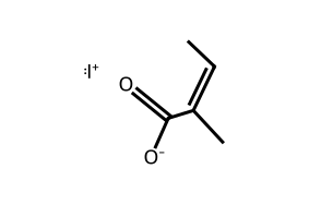 CC=C(C)C(=O)[O-].[I+]